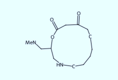 CNCC1CNCCCCCCC(=O)CC(=O)O1